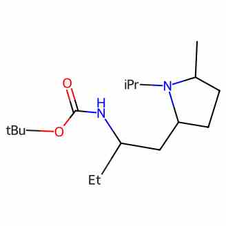 CCC(CC1CCC(C)N1C(C)C)NC(=O)OC(C)(C)C